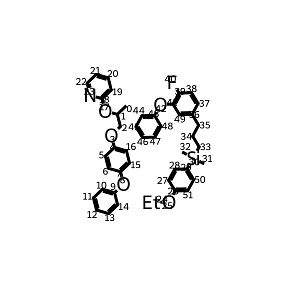 CC(COc1ccc(Oc2ccccc2)cc1)Oc1ccccn1.CCOc1ccc([Si](C)(C)CCCc2ccc(F)c(Oc3ccccc3)c2)cc1